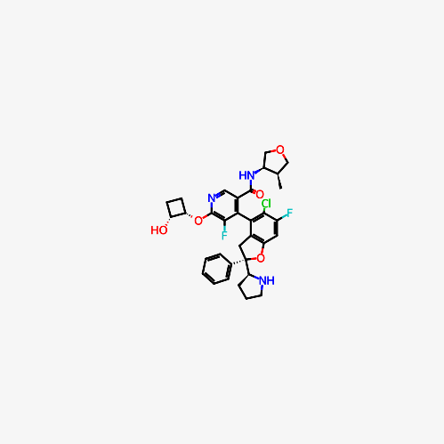 C[C@@H]1COC[C@@H]1NC(=O)c1cnc(O[C@H]2CC[C@H]2O)c(F)c1-c1c(Cl)c(F)cc2c1C[C@](c1ccccc1)([C@@H]1CCCN1)O2